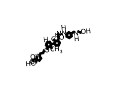 Cc1c(OCCCN2CCC(CO)(C(=O)O)C2)cccc1-c1cccc(-c2nnc(Nc3cccc(CNCCO)c3)o2)c1C